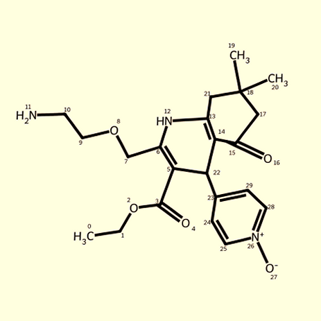 CCOC(=O)C1=C(COCCN)NC2=C(C(=O)CC(C)(C)C2)C1c1cc[n+]([O-])cc1